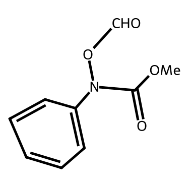 COC(=O)N(OC=O)c1ccccc1